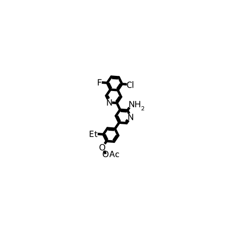 CCc1cc(-c2cnc(N)c(-c3cc4c(Cl)ccc(F)c4cn3)c2)ccc1OOC(C)=O